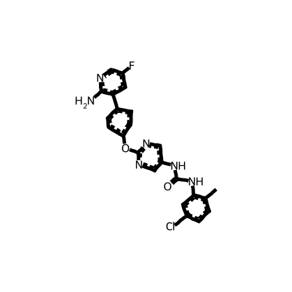 Cc1ccc(Cl)cc1NC(=O)Nc1cnc(Oc2ccc(-c3cc(F)cnc3N)cc2)nc1